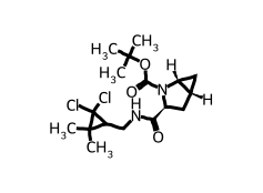 CC(C)(C)OC(=O)N1[C@@H]2C[C@@H]2C[C@H]1C(=O)NCC1C(C)(C)C1(Cl)Cl